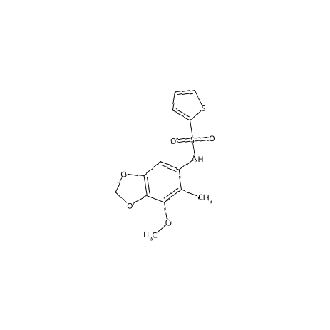 COc1c(C)c(NS(=O)(=O)c2cccs2)cc2c1OCO2